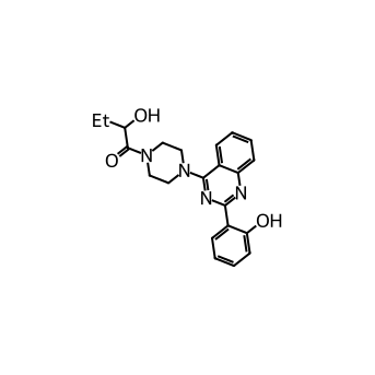 CCC(O)C(=O)N1CCN(c2nc(-c3ccccc3O)nc3ccccc23)CC1